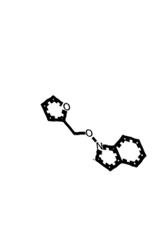 [c]1cc2ccccc2n1OCc1ccco1